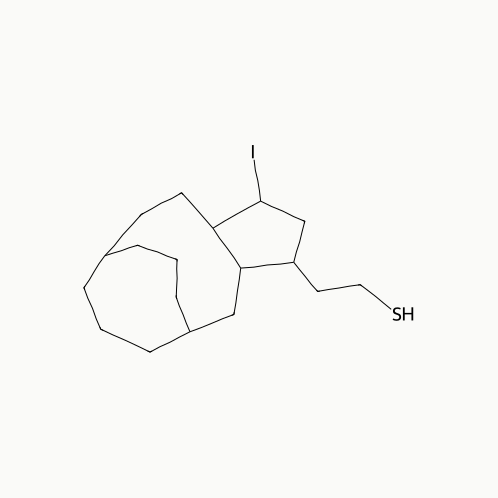 SCCC1CC(I)C2CCC3CCCC(CCC3)CC12